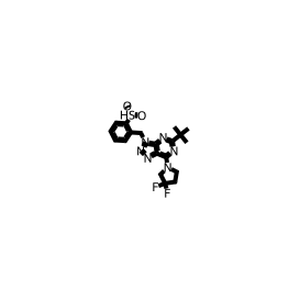 CC(C)(C)c1nc(N2CCC(F)(F)C2)c2nnn(Cc3ccccc3[SH](=O)=O)c2n1